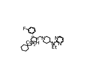 CCN(c1ncccn1)C1CCN(C[C@H]2CN(CC3(C(=O)O)CCCCC3)C[C@@H]2c2cccc(F)c2)CC1